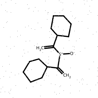 C=C(C1CCCCC1)[S+]([O-])C(=C)C1CCCCC1